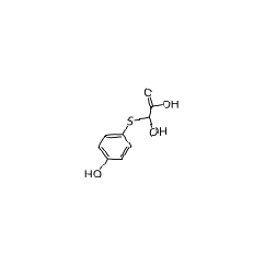 O=C(O)C(O)Sc1ccc(O)cc1